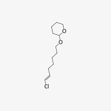 Cl/C=C/CCCCCOC1CCCCO1